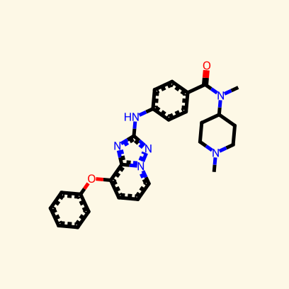 CN1CCC(N(C)C(=O)c2ccc(Nc3nc4c(Oc5ccccc5)cccn4n3)cc2)CC1